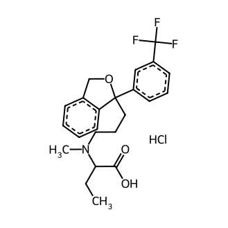 CCC(C(=O)O)N(C)CCCC1(c2cccc(C(F)(F)F)c2)OCc2ccccc21.Cl